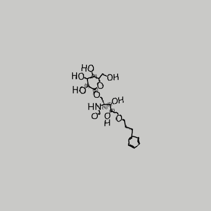 O=CN[C@@H](CO[C@H]1OC(CO)[C@H](O)C(O)[C@@H]1O)[C@H](O)[C@H](O)COCCCc1ccccc1